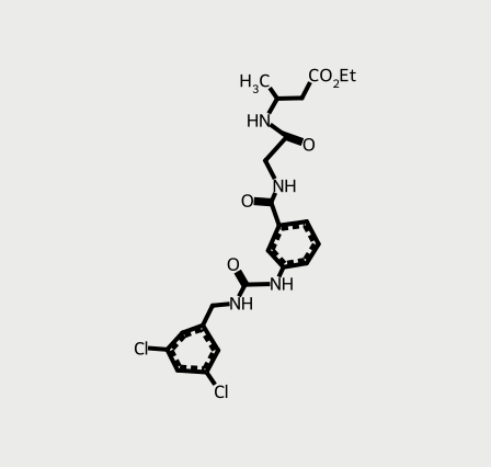 CCOC(=O)CC(C)NC(=O)CNC(=O)c1cccc(NC(=O)NCc2cc(Cl)cc(Cl)c2)c1